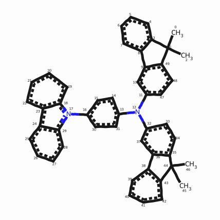 CC1(C)c2ccccc2-c2cc(N(c3ccc(-n4c5ccccc5c5ccccc54)cc3)c3ccc4c(c3)-c3ccccc3C4(C)C)ccc21